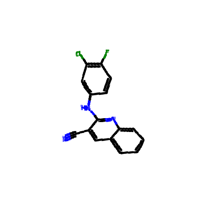 N#Cc1cc2ccccc2nc1Nc1ccc(F)c(Cl)c1